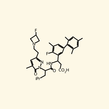 Cc1cc(C)c(-c2cc(C)c(F)c(C(CC(=O)O)NC(=O)C(CC(C)C)n3nc(CCN4CC(F)C4)cc(C)c3=O)c2)c(C)c1